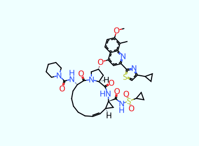 COc1ccc2c(O[C@@H]3C[C@H]4C(=O)N[C@]5(C(=O)NS(=O)(=O)C6CC6)C[C@H]5C=CCCCCC[C@H](NC(=O)N5CCCCC5)C(=O)N4C3)cc(-c3nc(C4CC4)cs3)nc2c1C